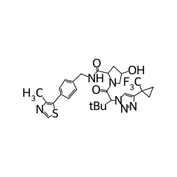 Cc1ncsc1-c1ccc(CNC(=O)C2CC(O)CN2C(=O)C(n2cc(C3(C(F)(F)F)CC3)nn2)C(C)(C)C)cc1